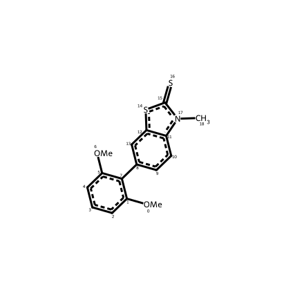 COc1cccc(OC)c1-c1ccc2c(c1)sc(=S)n2C